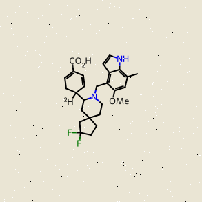 [2H]C1(C2CC3(CCN2Cc2c(OC)cc(C)c4[nH]ccc24)CCC(F)(F)C3)C=CC(C(=O)O)=CC1